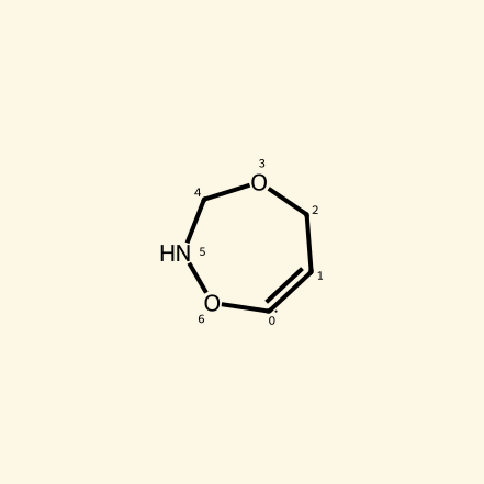 [C]1=CCOCNO1